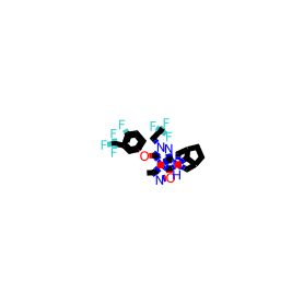 Cc1noc(N2CC3CCC(C2)C3Nc2nc(Oc3ccc(F)c(C(F)(F)F)c3)n(CC(F)(F)F)n2)n1